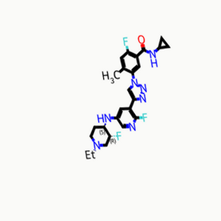 CCN1CC[C@H](Nc2cnc(F)c(-c3cn(-c4cc(C(=O)NC5CC5)c(F)cc4C)nn3)c2)[C@H](F)C1